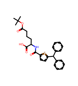 CC(C)(C)OC(=O)CCCC(NC(=O)c1ccc(C(c2ccccc2)c2ccccc2)s1)C(=O)O